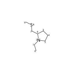 CCN1CCCC1CSC